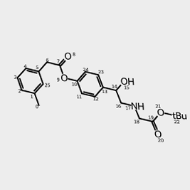 Cc1cccc(CC(=O)Oc2ccc(C(O)CNCC(=O)OC(C)(C)C)cc2)c1